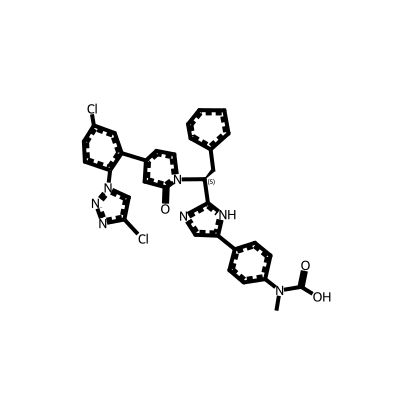 CN(C(=O)O)c1ccc(-c2cnc([C@H](Cc3ccccc3)n3ccc(-c4cc(Cl)ccc4-n4cc(Cl)nn4)cc3=O)[nH]2)cc1